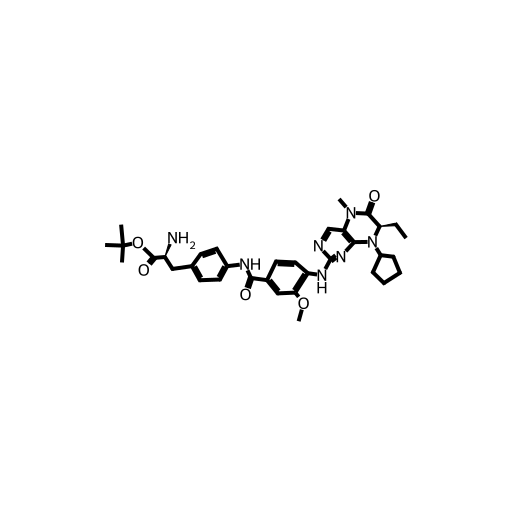 CC[C@@H]1C(=O)N(C)c2cnc(Nc3ccc(C(=O)Nc4ccc(C[C@H](N)C(=O)OC(C)(C)C)cc4)cc3OC)nc2N1C1CCCC1